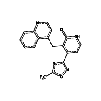 O=c1[nH]ccc(-c2noc(C(F)(F)F)n2)c1Cc1ccnc2ccccc12